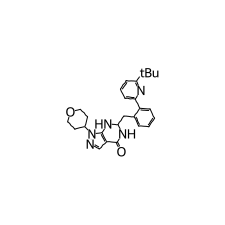 CC(C)(C)c1cccc(-c2ccccc2CC2NC(=O)c3cnn(C4CCOCC4)c3N2)n1